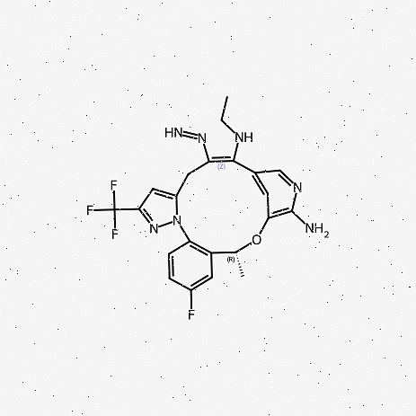 CCN/C1=C(\N=N)Cc2cc(C(F)(F)F)nn2-c2ccc(F)cc2[C@@H](C)Oc2cc1cnc2N